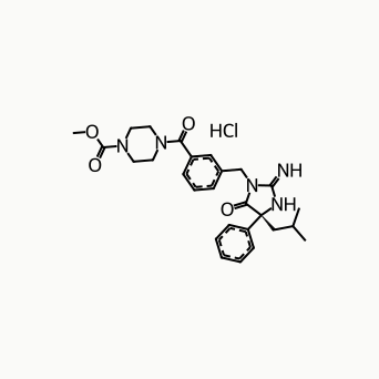 COC(=O)N1CCN(C(=O)c2cccc(CN3C(=N)N[C@](CC(C)C)(c4ccccc4)C3=O)c2)CC1.Cl